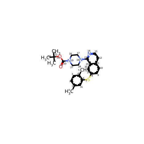 Cc1ccc(C)c(Sc2ccc3ccnc(N4CCN(C(=O)OC(C)(C)C)CC4)c3c2)c1